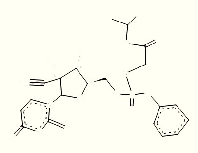 C#C[C@]1(O)C(n2ccc(=O)[nH]c2=O)O[C@H](COP(=O)(N[C@@H](C)C(=O)OC(CC)CC)Oc2ccccc2)[C@H]1O